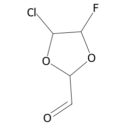 O=CC1OC(F)C(Cl)O1